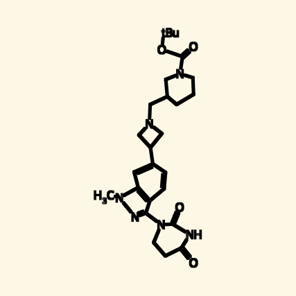 Cn1nc(N2CCC(=O)NC2=O)c2ccc(C3CN(CC4CCCN(C(=O)OC(C)(C)C)C4)C3)cc21